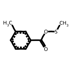 CSOC(=O)c1cccc(C)c1